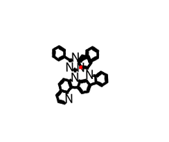 c1ccc(-c2nc(-c3ccccc3)nc(-n3c4ccc5cccnc5c4c4ccc5c6ccccc6n(-c6ccccc6)c5c43)n2)cc1